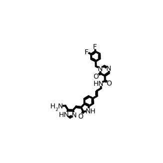 NCc1[nH]cnc1C=C1C(=O)Nc2cc(/C=C/CNC(=O)c3cncn(Cc4ccc(F)c(F)c4)c3=O)ccc21